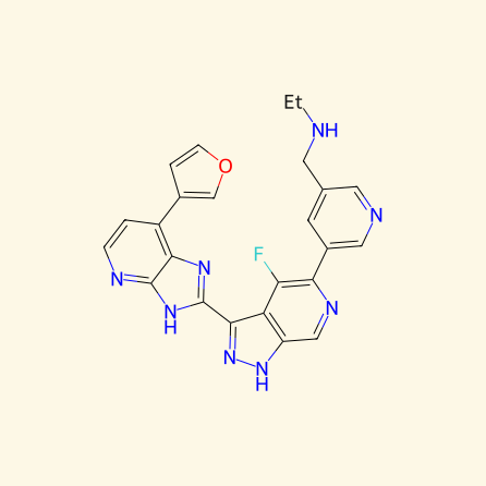 CCNCc1cncc(-c2ncc3[nH]nc(-c4nc5c(-c6ccoc6)ccnc5[nH]4)c3c2F)c1